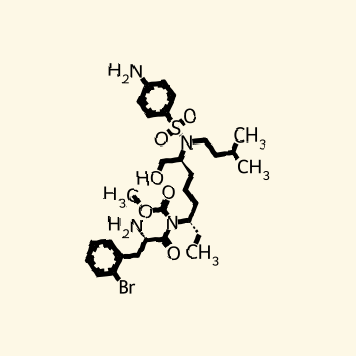 CC[C@@H](CCC[C@@H](CO)N(CCC(C)C)S(=O)(=O)c1ccc(N)cc1)N(C(=O)OC)C(=O)[C@@H](N)Cc1ccccc1Br